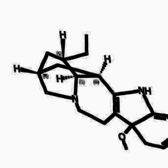 CC[C@H]1C[C@@H]2C[C@H]3C4=C(CCN(C2)[C@@H]13)C1(OC)CC=CC=C1N4